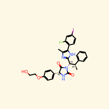 Cc1nc([C@H]([C@H](C)c2ccccc2)N2C(=O)N[C@H](c3ccc(OCCO)cc3)C2=O)[nH]c1-c1ccc(I)cc1F